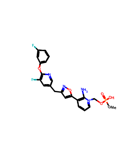 COP(=O)(O)OC[n+]1cccc(-c2cc(Cc3cnc(Oc4cccc(F)c4)c(F)c3)no2)c1N